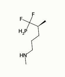 CNCCC[C@H](C)C(F)(F)P